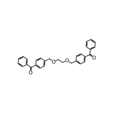 O=C(c1ccccc1)c1ccc(COCCOCc2ccc(C(=O)c3ccccc3)cc2)cc1